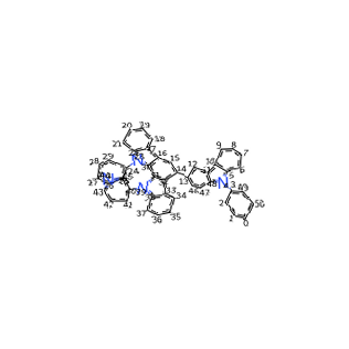 c1ccc(-n2c3ccccc3c3cc(-c4cc5c6ccccc6n(-c6ccccc6)c5c5c4c4ccccc4n5-c4cccnc4)ccc32)cc1